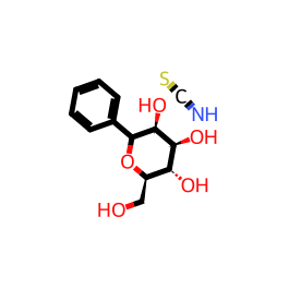 N=C=S.OC[C@H]1OC(c2ccccc2)[C@@H](O)[C@@H](O)[C@@H]1O